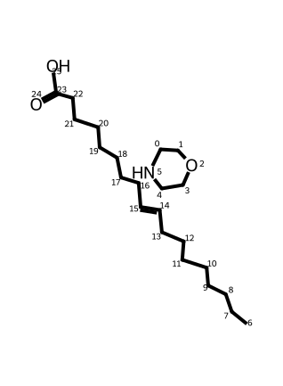 C1COCCN1.CCCCCCCCC=CCCCCCCCC(=O)O